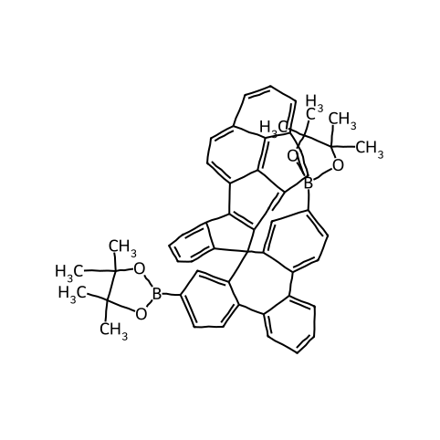 CC1(C)OB(c2ccc3c(c2)C2(c4cc(B5OC(C)(C)C(C)(C)O5)ccc4-c4ccccc4-3)c3ccccc3-c3c2cc2ccc4cccc5ccc3c2c45)OC1(C)C